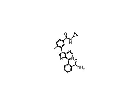 Cc1ccc(C(=O)NC2CC2)cc1-n1cnc2c(-c3ccccc3C(N)=O)ncnc21